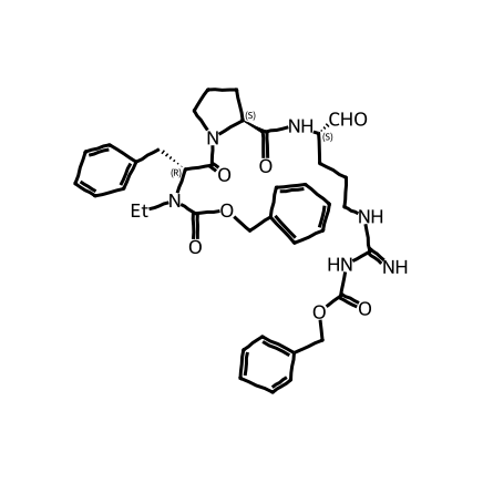 CCN(C(=O)OCc1ccccc1)[C@H](Cc1ccccc1)C(=O)N1CCC[C@H]1C(=O)N[C@H](C=O)CCCNC(=N)NC(=O)OCc1ccccc1